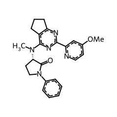 COc1ccnc(-c2nc3c(c(N(C)[C@H]4CCN(c5ccccc5)C4=O)n2)CCC3)c1